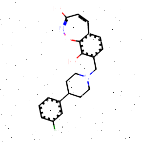 OC1=NOc2c(ccc(CN3CCC(c4cccc(F)c4)CC3)c2O)C=C1